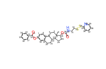 CC12CCC3c4ccc(OC(=O)c5ccccc5)cc4CCC3C1CCC2OC(=O)NCCSSc1ccccn1